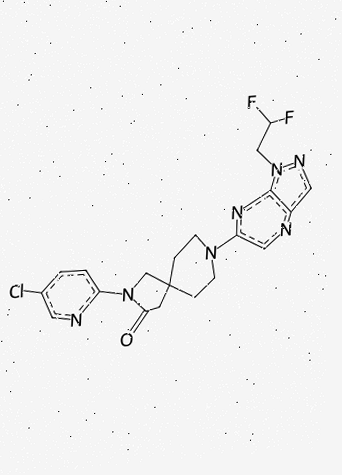 O=C1CC2(CCN(c3cnc4cnn(CC(F)F)c4n3)CC2)CN1c1ccc(Cl)cn1